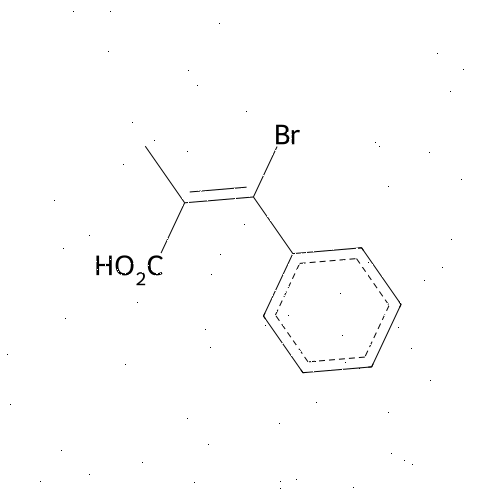 C/C(C(=O)O)=C(\Br)c1ccccc1